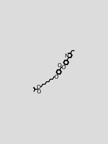 C=C(C)C(=O)OCCCCCCCCOc1ccc(C(=O)Oc2ccc(-c3ccc(CC)cn3)cc2)cc1